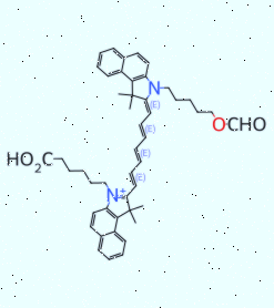 CC1(C)C(/C=C/C=C/C=C/C=C2/N(CCCCCOC=O)c3ccc4ccccc4c3C2(C)C)=[N+](CCCCCC(=O)O)c2ccc3ccccc3c21